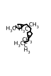 CN1CC2C(C1)C2CC(C)(C)CC1CC2C(C1)C2CC(C)(C)C